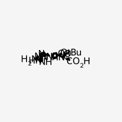 CC(C)(C)OC(=O)[C@H](CCC(=O)O)NC(=O)c1ccc(NCc2cnc3nc(N)[nH]c(=N)c3n2)cc1